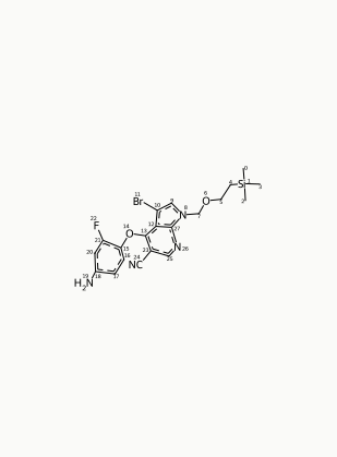 C[Si](C)(C)CCOCn1cc(Br)c2c(Oc3ccc(N)cc3F)c(C#N)cnc21